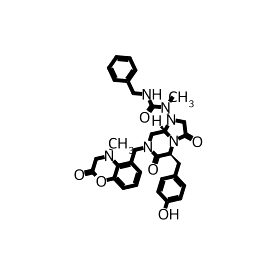 CN1CC(=O)Oc2cccc(CN3C[C@H]4N(C(=O)CN4N(C)C(=O)NCc4ccccc4)[C@@H](Cc4ccc(O)cc4)C3=O)c21